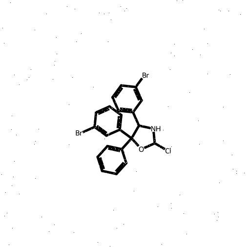 ClC1NC(c2cccc(Br)c2)C(c2ccccc2)(c2cccc(Br)c2)O1